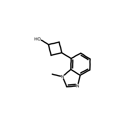 Cn1cnc2cccc(C3CC(O)C3)c21